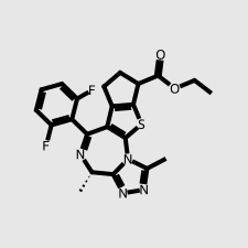 CCOC(=O)C1CCc2c1sc1c2C(c2c(F)cccc2F)=N[C@@H](C)c2nnc(C)n2-1